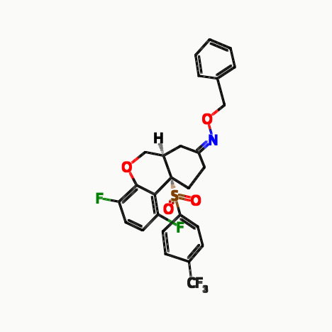 O=S(=O)(c1ccc(C(F)(F)F)cc1)[C@@]12CC/C(=N/OCc3ccccc3)C[C@@H]1COc1c(F)ccc(F)c12